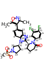 Cc1noc(C)c1-c1ccc2c(c1)nc([C@@H]1CCCC(=O)N1c1ccc(F)c(F)c1)n2[C@@H]1CCN(S(C)(=O)=O)C1